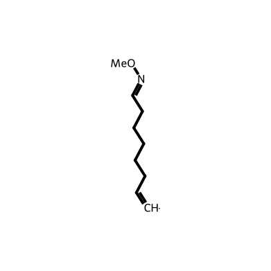 [CH]=CCCCCCC=NOC